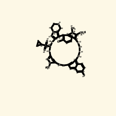 Cn1nc2cc1CSc1cc(c3ccc(F)cc3c1)OCCCc1c(C(=O)O)n(C)c3c(c(Cl)ccc13)-c1c(nn3c1COCC3)CN(S(=O)(=O)C1CC1)C2